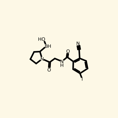 N#Cc1ccc(I)cc1C(=O)NCC(=O)N1CCCC1BO